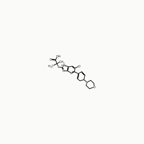 CC(C)(Sc1nc2nc(C3=CCC(N4CCOCC4)C=C3)c(Cl)cc2[nH]1)C(=O)O